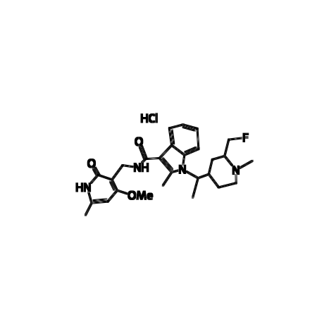 COc1cc(C)[nH]c(=O)c1CNC(=O)c1c(C)n(C(C)C2CCN(C)C(CF)C2)c2ccccc12.Cl